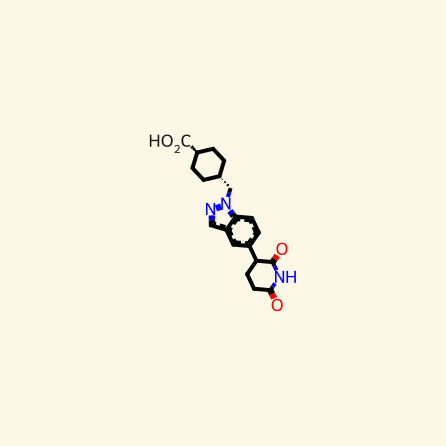 O=C1CCC(c2ccc3c(cnn3C[C@H]3CC[C@H](C(=O)O)CC3)c2)C(=O)N1